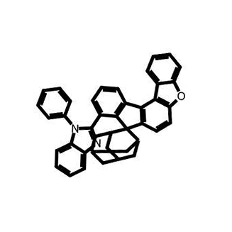 c1ccc(-n2c(-c3cccc4c3C3(c5ccc6oc7ccccc7c6c5-4)C4CC5CC(C4)CC3C5)nc3ccccc32)cc1